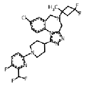 CC1(N2Cc3cc(Cl)ccc3-n3c(nnc3C3CCN(c4ccc(F)c(C(F)F)n4)CC3)C2)CC(F)(F)C1